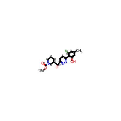 Cc1cc(O)c(-c2ccc(C(=O)C3CCCN(C(=O)OC(C)(C)C)C3)nn2)c(F)c1